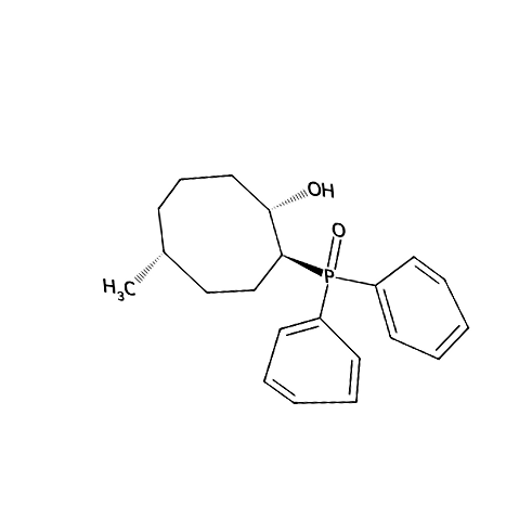 C[C@@H]1CCC[C@H](O)[C@@H](P(=O)(c2ccccc2)c2ccccc2)CC1